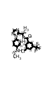 CSNc1ccc(-n2ncnc2C(C)NC(=O)c2cc(Cl)cc(C(F)(F)F)c2)nc1